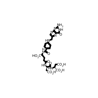 Nc1nc2ncc(CNc3ccc(C(=O)N[C@@H](CCC(=O)N[C@H](CC(=O)O)C(=O)N[C@H](CC(=O)O)C(=O)O)C(=O)O)cc3)nc2c(=O)[nH]1